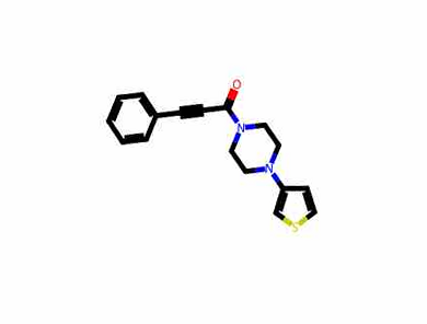 O=C(C#Cc1ccccc1)N1CCN(c2ccsc2)CC1